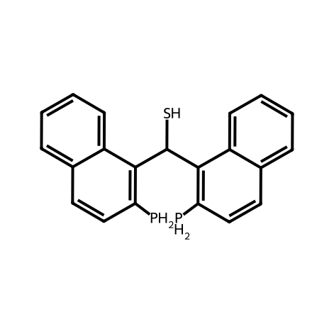 Pc1ccc2ccccc2c1C(S)c1c(P)ccc2ccccc12